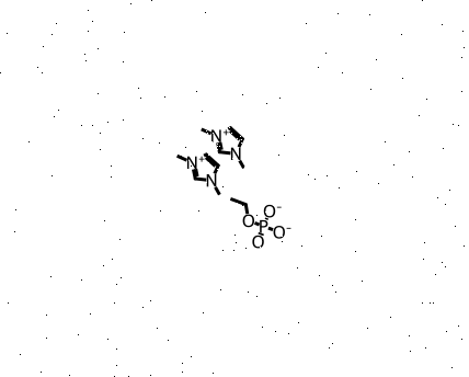 CCOP(=O)([O-])[O-].Cn1cc[n+](C)c1.Cn1cc[n+](C)c1